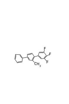 Cc1cc(-c2ccccc2)ccc1-c1cc(F)c(F)c(F)c1